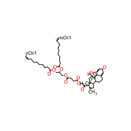 CCCCCCCC/C=C\CCCCCCCC(=O)OCC(COC(=O)CCC(=O)OCC(=O)C1[C@H](C)CC2C3CCC4=CC(=O)C=CC4(C)[C@@]3(F)C(O)C[C@]21C)OC(=O)CCCCCCC/C=C\CCCCCCCC